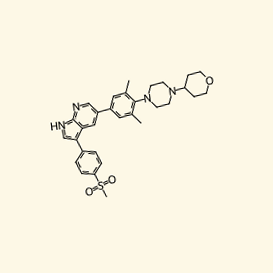 Cc1cc(-c2cnc3[nH]cc(-c4ccc(S(C)(=O)=O)cc4)c3c2)cc(C)c1N1CCN(C2CCOCC2)CC1